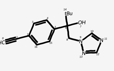 C#Cc1ccc(C(O)(Cn2cncn2)C(C)(C)C)cc1